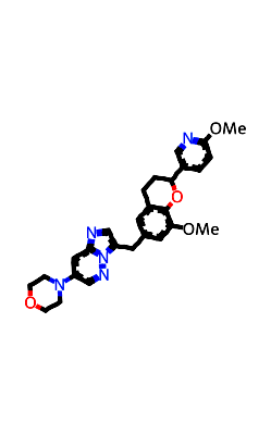 COc1ccc(C2CCc3cc(Cc4cnc5cc(N6CCOCC6)cnn45)cc(OC)c3O2)cn1